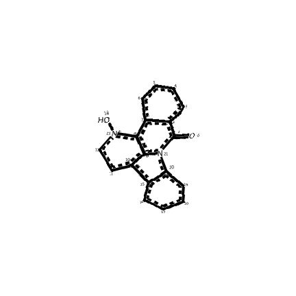 O=c1c2ccccc2c2c3c(cc[n+]2O)c2ccccc2n13